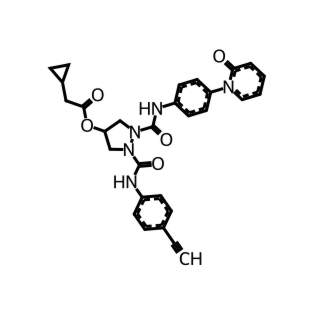 C#Cc1ccc(NC(=O)N2CC(OC(=O)CC3CC3)CN2C(=O)Nc2ccc(-n3ccccc3=O)cc2)cc1